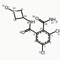 Cc1cc(Cl)cc(C(=O)NC2C[S+]([O-])C2)c1C(N)=O